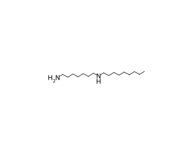 CCCCCCCCCNCCCCCCCN